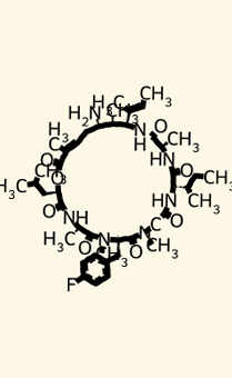 C/C=C(\C)[C@H]1NC(=O)[C@@H](C)NC(=O)[C@H](C(C)CC)NC(=O)CN(C)C(=O)[C@@H](Cc2ccc(F)cc2)N(C)C(=O)[C@H](C)NC(=O)[C@@H](CC(C)C)OC(=O)/C(C)=C/C[C@H](N)[C@@H]1C